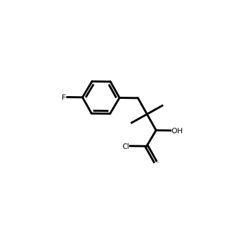 [CH]=C(Cl)C(O)C(C)(C)Cc1ccc(F)cc1